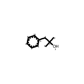 CC(C)(O)[CH]c1ccccc1